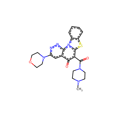 CN1CCN(C(=O)c2c(=O)c3cc(N4CCOCC4)nnc3n3c2sc2ccccc23)CC1